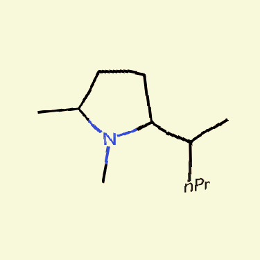 CCCC(C)C1CCC(C)N1C